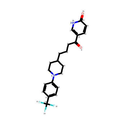 O=C(CCCC1CCN(c2ccc(C(F)(F)F)cc2)CC1)c1ccc(=O)[nH]c1